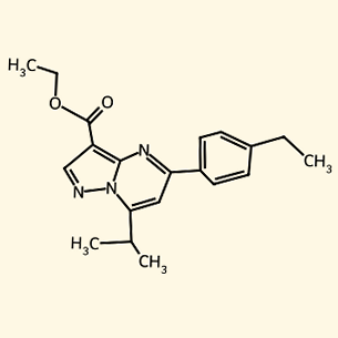 CCOC(=O)c1cnn2c(C(C)C)cc(-c3ccc(CC)cc3)nc12